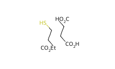 CCOC(=O)CCS.O=C(O)CCC(=O)O